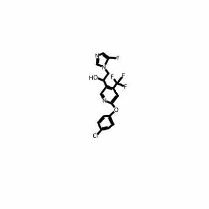 OC(Cn1cncc1F)c1cnc(Oc2ccc(Cl)cc2)cc1C(F)(F)F